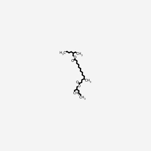 CCCCC(CC)COC(=O)CCCCCCCCCC(C)CCC(=O)OCC(CC)CCCC